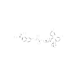 COc1ccc2c(c1)C(c1ccc(Cl)cc1)=N[C@@H](CC(=O)NCC(=O)NCCc1ccc3ccc(B(O)O)cc3c1)c1nnc(C)n1-2